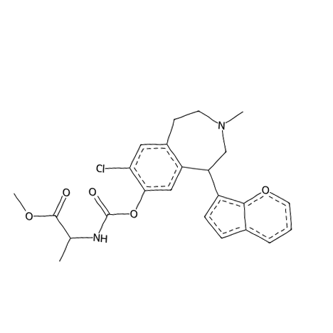 COC(=O)C(C)NC(=O)Oc1cc2c(cc1Cl)CCN(C)CC2c1ccc2cccoc1-2